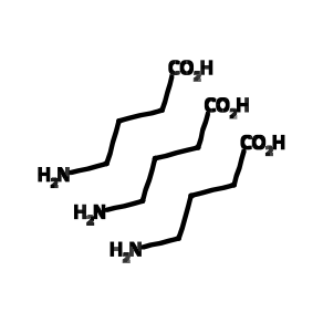 NCCCC(=O)O.NCCCC(=O)O.NCCCC(=O)O